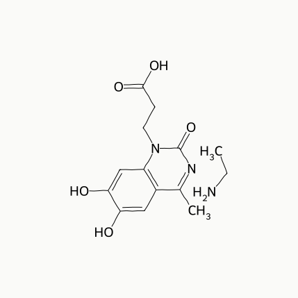 CCN.Cc1nc(=O)n(CCC(=O)O)c2cc(O)c(O)cc12